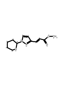 COC(=O)/C=C/c1ccn(C2CCCCO2)n1